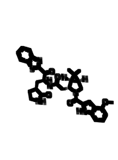 COc1cccc2[nH]c(C(=O)N3C[C@H]4[C@@H]([C@H]3CC(=O)N[C@@H](C[C@@H]3CCNC3=O)C(=O)c3nc5ccccc5s3)C4(C)C)cc12